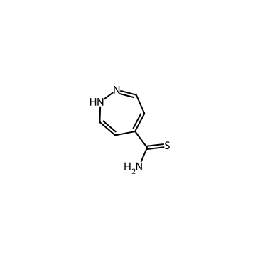 NC(=S)C1=CC=NNC=C1